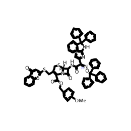 COc1ccc(COC(=O)C2=C(CSc3cc(=O)c4ccccc4s3)CS[C@@H]3C(NC(=O)/C(=N\OC(c4ccccc4)(c4ccccc4)c4ccccc4)c4csc(NC(c5ccccc5)(c5ccccc5)c5ccccc5)n4)C(=O)N23)cc1